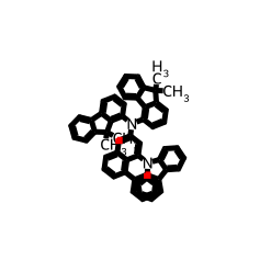 CC1(C)c2ccccc2-c2c(N(c3cc(-n4c5ccccc5c5ccccc54)c4c(-c5ccccc5)cccc4c3)c3cccc4c3C(C)(C)c3ccccc3-4)cccc21